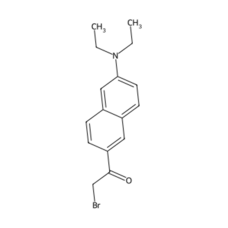 CCN(CC)c1ccc2cc(C(=O)CBr)ccc2c1